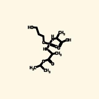 CC(C)OC(=O)C(C)NP(=O)(NC(C)C(=O)O)OCCCO